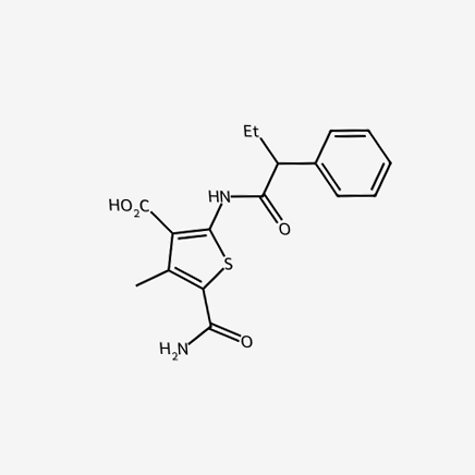 CCC(C(=O)Nc1sc(C(N)=O)c(C)c1C(=O)O)c1ccccc1